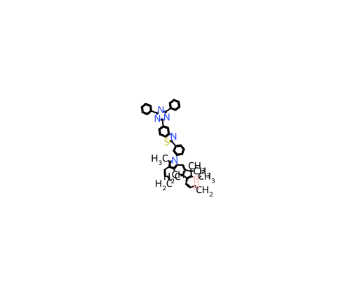 C=C/C=C\C1=C(BC)C(C)(C)/C(=C/c2c(C)c(/C=C\C=C)c(C)n2-c2cccc(-c3nc4cc(-c5nc(-c6ccccc6)nc(-c6ccccc6)n5)ccc4s3)c2)C1=C